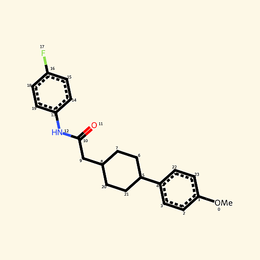 COc1ccc(C2CCC(CC(=O)Nc3ccc(F)cc3)CC2)cc1